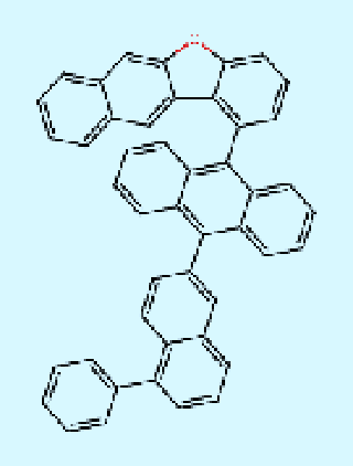 c1ccc(-c2cccc3cc(-c4c5ccccc5c(-c5cccc6oc7cc8ccccc8cc7c56)c5ccccc45)ccc23)cc1